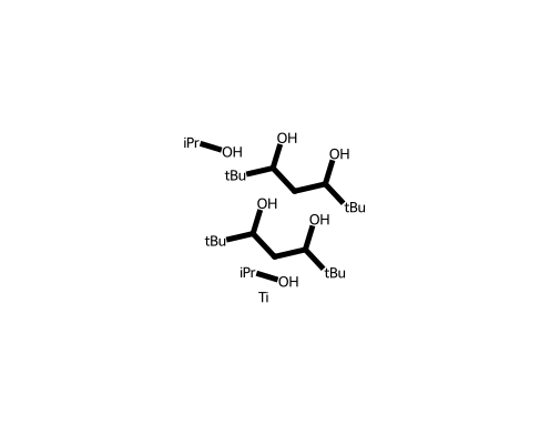 CC(C)(C)C(O)CC(O)C(C)(C)C.CC(C)(C)C(O)CC(O)C(C)(C)C.CC(C)O.CC(C)O.[Ti]